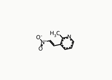 Cc1ncccc1/C=C/[N+](=O)[O-]